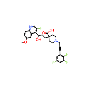 COc1ccc2ncc(F)c(C(O)CCC3(C(=O)O)CCN(CC#Cc4cc(F)cc(F)c4F)CC3)c2c1